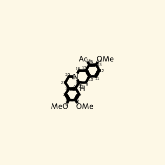 COc1cc2c(cc1OC)[C@@H]1Cc3ccc(OC)c(C(C)=O)c3CN1CC2